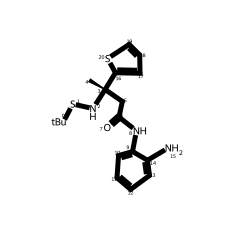 CC(C)(C)SN[C@@](C)(CC(=O)Nc1ccccc1N)c1cccs1